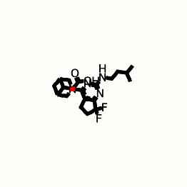 CC(C)CCNc1nc(N2CC3CC(C2)C3CC(=O)O)c2c(n1)C(F)(F)CC2